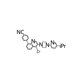 CC(C)c1ccc(N2CCN(c3cnc4c(-c5ccc(C#N)cc5)cccc4c3C3CC3)CC2)nc1